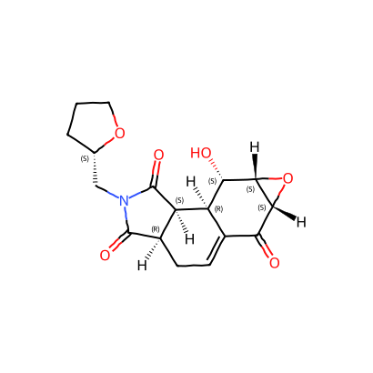 O=C1C2=CC[C@H]3C(=O)N(C[C@@H]4CCCO4)C(=O)[C@H]3[C@H]2[C@H](O)[C@@H]2O[C@H]12